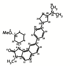 CO[C@@H]1CCC[C@H](n2c(=O)n(C)c3cnc4ccc(-c5ccc(N6CC[C@@H](N(C)C)C6)nc5)cc4c32)C1